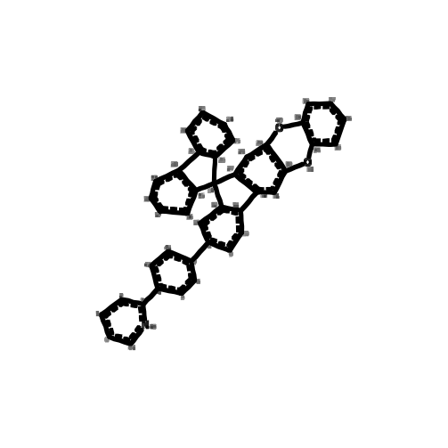 c1ccc(-c2ccc(-c3ccc4c(c3)C3(c5ccccc5-c5ccccc53)c3cc5c(cc3-4)Oc3ccccc3O5)cc2)nc1